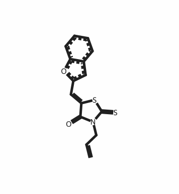 C=CCN1C(=O)/C(=C/c2cc3ccccc3o2)SC1=S